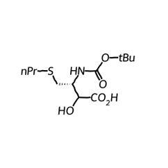 CCCSC[C@H](NC(=O)OC(C)(C)C)C(O)C(=O)O